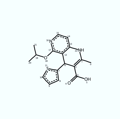 CC1=C(C(=O)O)C(c2cccs2)c2c(ccnc2OC(C)C)N1